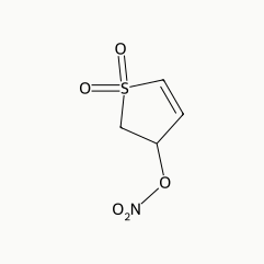 O=[N+]([O-])OC1C=CS(=O)(=O)C1